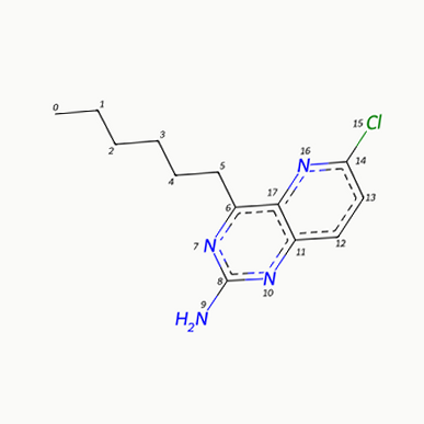 CCCCCCc1nc(N)nc2ccc(Cl)nc12